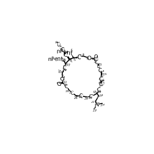 C=C=C=C=C1C(CCCCC)CCOC(=O)CCCCCCCC(CCN(C)C)CCCCCCCC(=O)OCCC1CCCCC